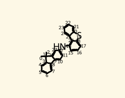 CC1(C)c2ccccc2-c2ccc(Nc3cccc4sc5ccccc5c34)cc21